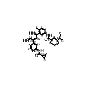 Cc1ccc(NC(=O)C2CCOC(C(C)C)C2)cc1C(=N)/C=C(\C=N)c1ccnc(NC(=O)C2CC2)c1